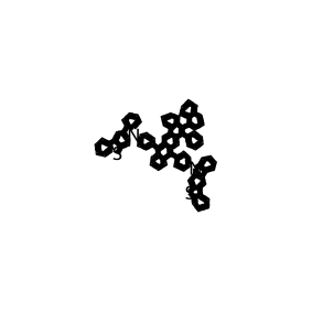 c1ccc(-c2c(-c3cccc4ccccc34)c3ccccc3c3cc4c(-c5ccc(-n6c7ccccc7c7cc8c(cc76)sc6ccccc68)cc5)c5ccccc5c(-c5ccc(-n6c7ccccc7c7cc8c(cc76)sc6ccccc68)cc5)c4cc23)cc1